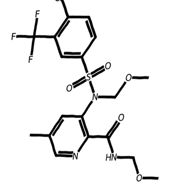 COCNC(=O)c1ncc(C)cc1N(COC)S(=O)(=O)c1ccc(Cl)c(C(F)(F)F)c1